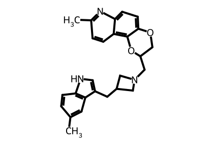 Cc1ccc2[nH]cc(CC3CN(CC4COc5ccc6nc(C)ccc6c5O4)C3)c2c1